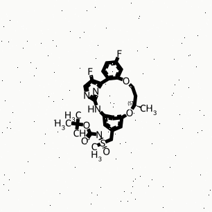 C[C@H]1CCOc2cc(F)ccc2-c2nc(ncc2F)Nc2cc(CS(C)(=O)=NC(=O)OC(C)(C)C)cc(c2)O1